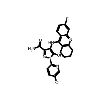 NC(=O)c1nn(-c2ccc(Cl)cn2)c(O)c1Nc1c2c(nc3cc(Cl)ccc13)CCCC2